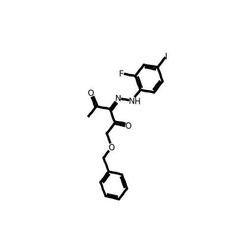 CC(=O)/C(=N/Nc1ccc(I)cc1F)C(=O)COCc1ccccc1